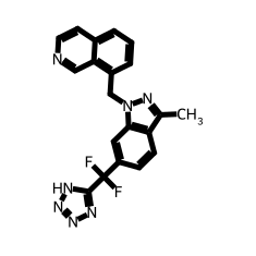 Cc1nn(Cc2cccc3ccncc23)c2cc(C(F)(F)c3nnn[nH]3)ccc12